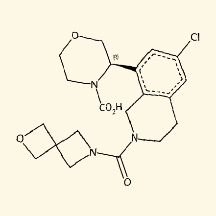 O=C(N1CCc2cc(Cl)cc([C@@H]3COCCN3C(=O)O)c2C1)N1CC2(COC2)C1